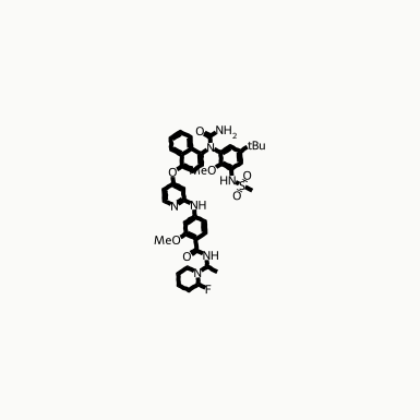 COc1cc(Nc2cc(Oc3ccc(N(C(N)=O)c4cc(C(C)(C)C)cc(NS(C)(=O)=O)c4OC)c4ccccc34)ccn2)ccc1C(=O)NC(C)N1CCCCC1F